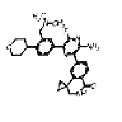 CN(C)Cc1cc(-c2nc(-c3ccc4c(c3)C3(CC3)CNC4=O)c(N)nc2F)ccc1C1CCOCC1